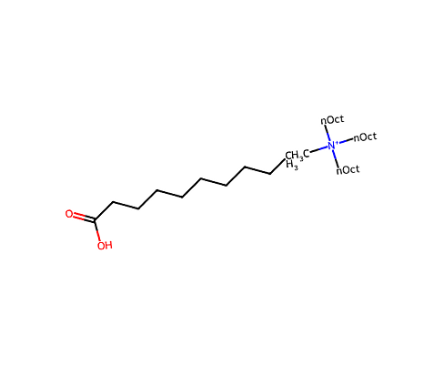 CCCCCCCCCC(=O)O.CCCCCCCC[N+](C)(CCCCCCCC)CCCCCCCC